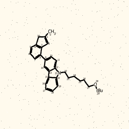 CC1=Cc2c(cccc2-c2ccc3c(c2)c2ccccc2n3CCCCCCOC(C)(C)C)C1